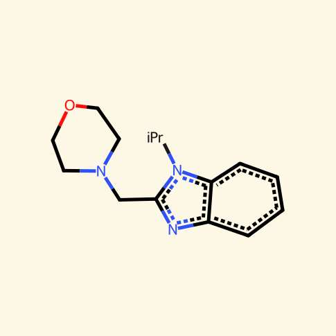 CC(C)n1c(CN2CCOCC2)nc2ccccc21